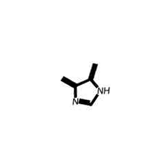 C=c1nc[nH]c1=C